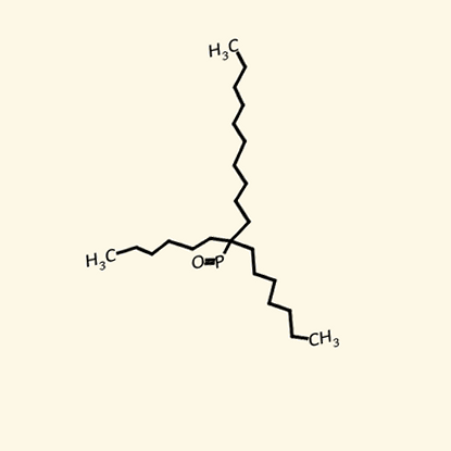 CCCCCCCCCCC(CCCCCC)(CCCCCCC)P=O